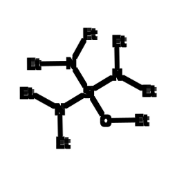 CCO[Si](N(CC)CC)(N(CC)CC)N(CC)CC